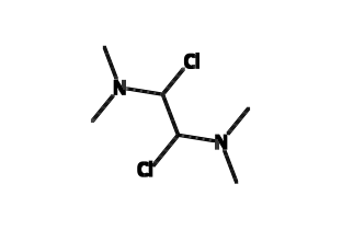 CN(C)C(Cl)C(Cl)N(C)C